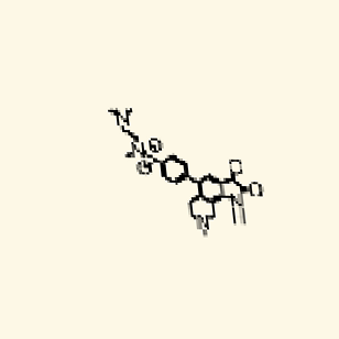 CN(C)CCN(C)S(=O)(=O)c1ccc(-c2cc3c(c4c2CCN(C)C4)NC(=O)C3=O)cc1